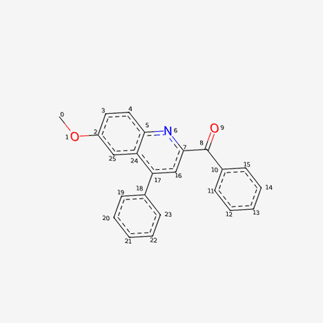 COc1ccc2nc(C(=O)c3ccccc3)cc(-c3ccccc3)c2c1